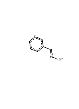 CCCN=Cc1cccnc1